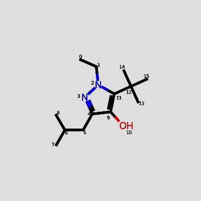 CCn1nc(CC(C)C)c(O)c1C(C)(C)C